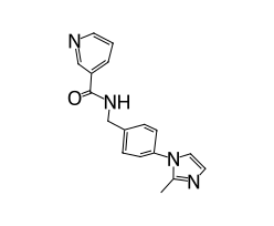 Cc1nccn1-c1ccc(CNC(=O)c2cccnc2)cc1